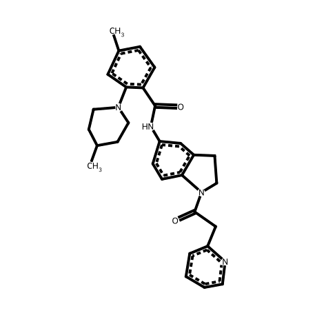 Cc1ccc(C(=O)Nc2ccc3c(c2)CCN3C(=O)Cc2ccccn2)c(N2CCC(C)CC2)c1